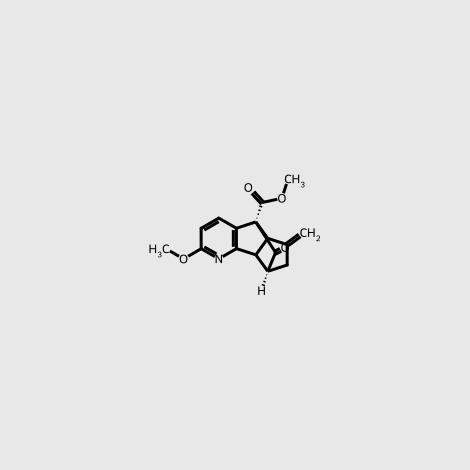 C=C1C[C@@H]2C(=O)[C@@]3(C(=O)OC)c4ccc(OC)nc4C2C13